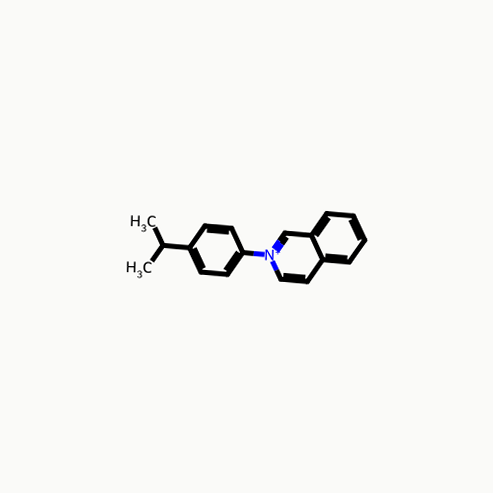 CC(C)c1ccc(-[n+]2ccc3ccccc3c2)cc1